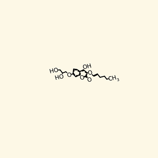 CCCC/C=C/Oc1c(O)c2ccc(OCC(O)CO)cc2oc1=O